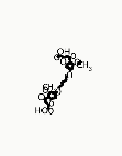 COc1cc(OCCCCCOc2cc(OC)c3c(=O)cc(C(=O)O)oc3c2)cc2oc(C(=O)O)cc(=O)c12